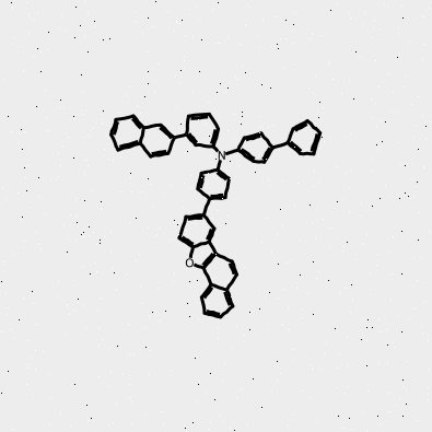 c1ccc(-c2ccc(N(c3ccc(-c4ccc5oc6c7ccccc7ccc6c5c4)cc3)c3cccc(-c4ccc5ccccc5c4)c3)cc2)cc1